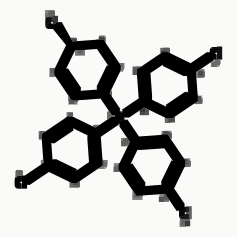 Clc1ccc([B-](C2=CC[C@H](Cl)C=C2)(c2ccc(Cl)cc2)c2ccc(Cl)cc2)cc1